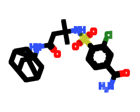 CC(C)(CC(=O)NC12CC3CC(CC(C3)C1)C2)NS(=O)(=O)c1ccc(C(N)=O)cc1Cl